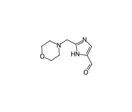 O=Cc1cnc(CN2CCOCC2)[nH]1